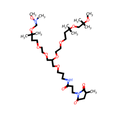 CON(C)COC(C)(C)CCOCCOCC(COCCCNC(=O)CCN1C(=O)CC(C)C1=O)OCCOCCC(C)(C)OCC(C)(C)OC